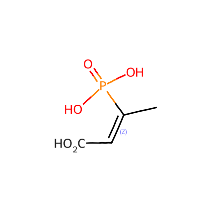 C/C(=C/C(=O)O)P(=O)(O)O